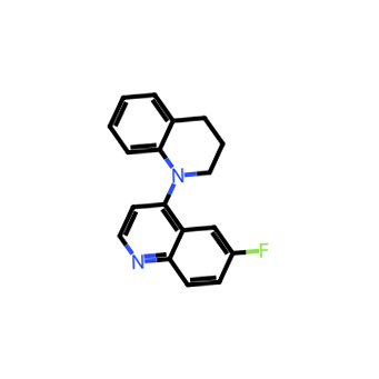 Fc1ccc2nccc(N3CCCc4ccccc43)c2c1